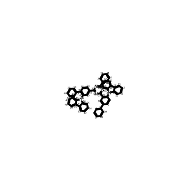 c1ccc(-c2ccc(-n3c4ccccc4c4ccccc43)c(-c3nc(-c4ccccc4)nc(-c4ccc(-c5ccccc5)c(-n5c6ccccc6c6ccccc65)c4)n3)c2)cc1